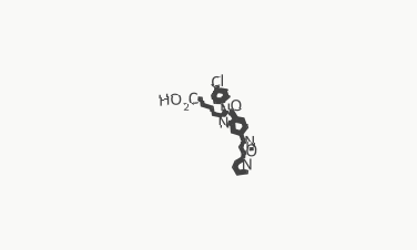 O=C(O)CCCCc1nc2cc(C3=NOC(c4ccccn4)C3)ccc2c(=O)n1-c1ccc(Cl)cc1